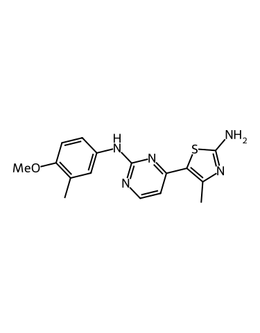 COc1ccc(Nc2nccc(-c3sc(N)nc3C)n2)cc1C